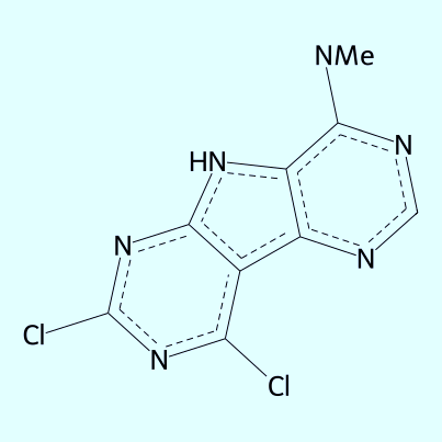 CNc1ncnc2c1[nH]c1nc(Cl)nc(Cl)c12